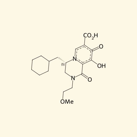 COCCN1C[C@H](CC2CCCCC2)n2cc(C(=O)O)c(=O)c(O)c2C1=O